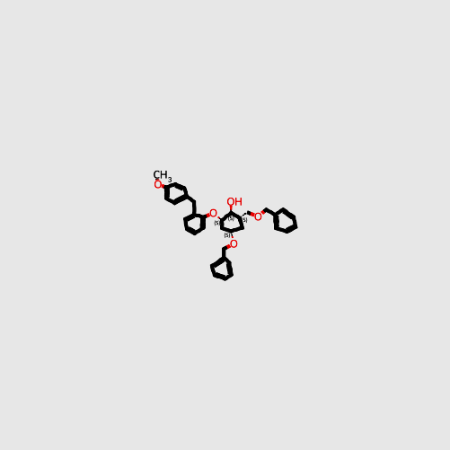 COc1ccc(Cc2ccccc2O[C@H]2C[C@@H](OCc3ccccc3)C[C@@H](COCc3ccccc3)[C@@H]2O)cc1